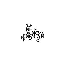 Cn1cnnc1C1(c2ccc(F)c(NC(=O)c3cc(CNCC4(CF)CC4)cn(CC(F)(F)F)c3=O)c2)CC2(CCC2)C1